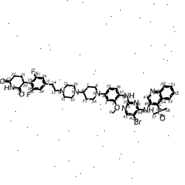 COc1cc(N2CCC(N3CCN(CCc4cc(F)c(C5CCC(=O)NC5=O)c(F)c4)CC3)CC2)ccc1Nc1ncc(Br)c(Nc2cnc3ccccc3c2P(C)(C)=O)n1